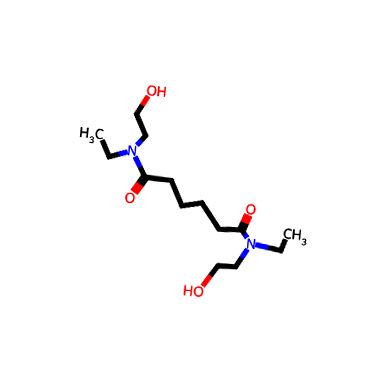 CCN(CCO)C(=O)CCCCC(=O)N(CC)CCO